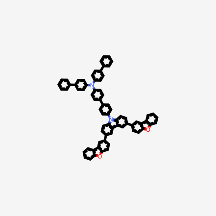 c1ccc(-c2ccc(N(c3ccc(-c4ccccc4)cc3)c3ccc(-c4ccc(-n5c6ccc(-c7ccc8oc9ccccc9c8c7)cc6c6cc(-c7ccc8oc9ccccc9c8c7)ccc65)cc4)cc3)cc2)cc1